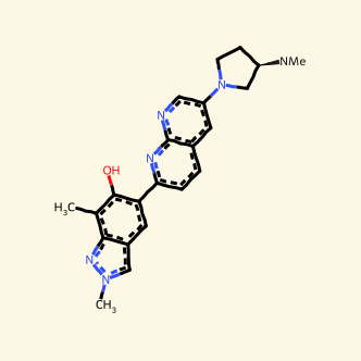 CN[C@@H]1CCN(c2cnc3nc(-c4cc5cn(C)nc5c(C)c4O)ccc3c2)C1